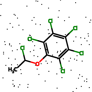 CC(Cl)Oc1c(Cl)c(Cl)c(Cl)c(Cl)c1Cl